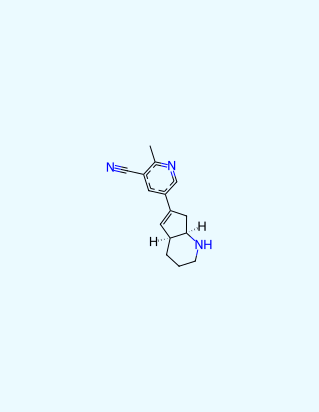 Cc1ncc(C2=C[C@@H]3CCCN[C@@H]3C2)cc1C#N